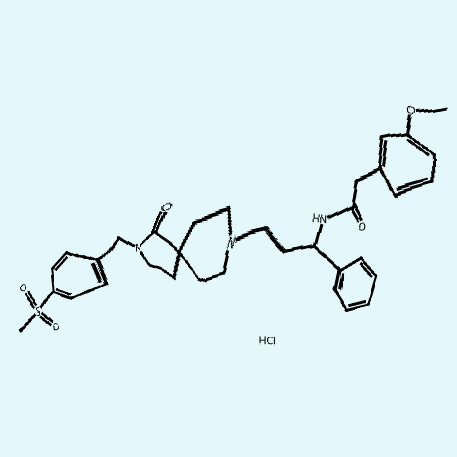 COc1cccc(CC(=O)NC(CCN2CCC3(CC2)CCN(Cc2ccc(S(C)(=O)=O)cc2)C3=O)c2ccccc2)c1.Cl